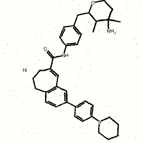 CC1C(Cc2ccc(NC(=O)C3=Cc4cc(-c5ccc(N6CCCCC6)cc5)ccc4CCC3)cc2)OCCC1(C)N.I